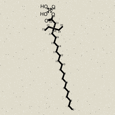 CCCCCCCCCCCCCCCCCCC(CC)(CC)CC(=O)OP(=O)(O)O